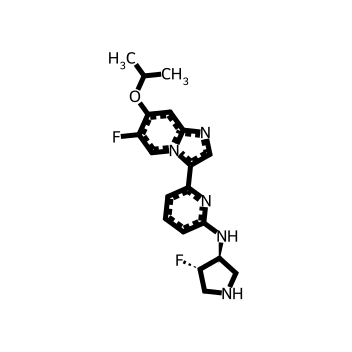 CC(C)Oc1cc2ncc(-c3cccc(N[C@H]4CNC[C@@H]4F)n3)n2cc1F